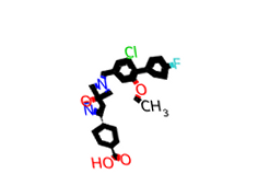 CCOc1cc(CN2CC3(CC([C@H]4CC[C@H](C(=O)O)CC4)=NO3)C2)cc(Cl)c1-c1ccc(F)cc1